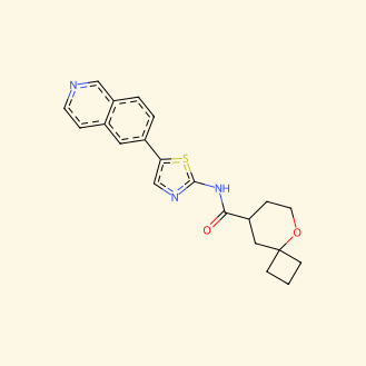 O=C(Nc1ncc(-c2ccc3cnccc3c2)s1)C1CCOC2(CCC2)C1